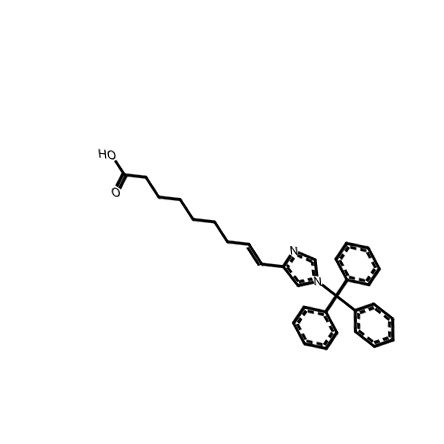 O=C(O)CCCCCCC=Cc1cn(C(c2ccccc2)(c2ccccc2)c2ccccc2)cn1